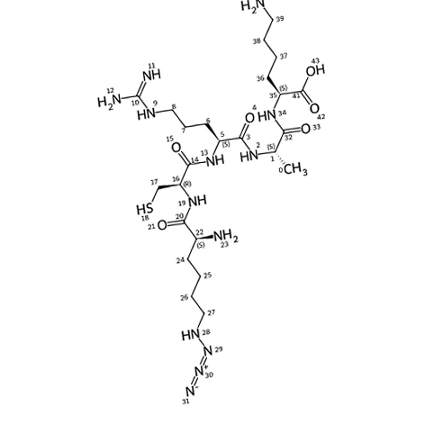 C[C@H](NC(=O)[C@H](CCCNC(=N)N)NC(=O)[C@H](CS)NC(=O)[C@@H](N)CCCCNN=[N+]=[N-])C(=O)N[C@@H](CCCCN)C(=O)O